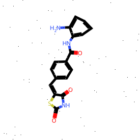 Nc1ccccc1NC(=O)c1ccc(/C=C2/SC(=O)NC2=O)cc1